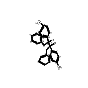 CCC(Cc1ccccc1)(c1ccc(C)cc1)C(CC)(Cc1ccccc1)c1ccc(C)cc1